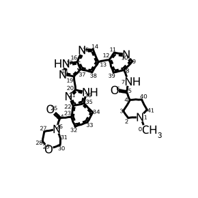 CN1CCC(C(=O)Nc2cncc(-c3cnc4[nH]nc(-c5nc6c(C(=O)N7CCOCC7)cccc6[nH]5)c4c3)c2)CC1